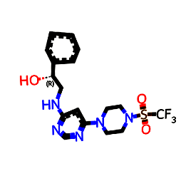 O=S(=O)(N1CCN(c2cc(NC[C@H](O)c3ccccc3)ncn2)CC1)C(F)(F)F